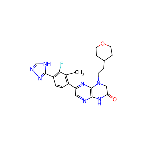 Cc1c(-c2cnc3c(n2)N(CCC2CCOCC2)CC(=O)N3)ccc(-c2nnc[nH]2)c1F